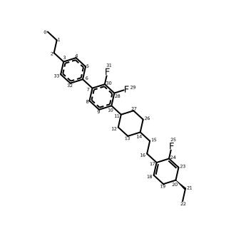 CCCc1ccc(-c2ccc(C3CCC(CCC4=CC[C@H](CC)C=C4F)CC3)c(F)c2F)cc1